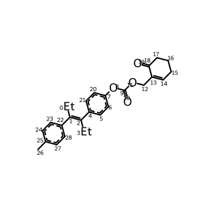 CC/C(=C(/CC)c1ccc(OC(=O)OCC2=CCCCC2=O)cc1)c1ccc(C)cc1